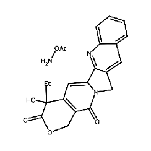 CC(=O)ON.CCC1(O)C(=O)OCc2c1cc1n(c2=O)Cc2cc3ccccc3nc2-1